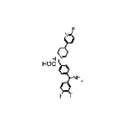 Cl.Cl.NC(c1ccc(CN2CCC(c3ccc(F)nc3)CC2)cc1)c1ccc(F)c(F)c1